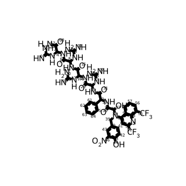 N=C(N)NC(NC(=O)C(NC(=N)N)NC(=O)C(NC(=N)N)NC(=O)C(NC(=N)N)NC(=O)C(NC(=O)C(O)N(Cc1ccc(O)c([N+](=O)[O-])c1)c1cc(C(F)(F)F)nc2c(C(F)(F)F)cccc12)c1ccccc1)C(N)=O